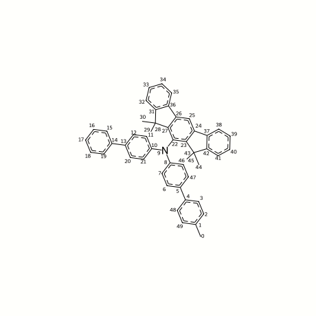 Cc1ccc(-c2ccc(N(c3ccc(-c4ccccc4)cc3)c3c4c(cc5c3C(C)(C)c3ccccc3-5)-c3ccccc3C4(C)C)cc2)cc1